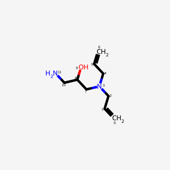 C=CCN(CC=C)CC(O)CN